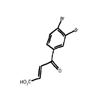 O=C(O)/C=C/C(=O)c1ccc(Br)c(Br)c1